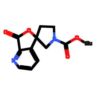 CC(C)(C)OC(=O)N1CCC2(C1)OC(=O)c1ncccc12